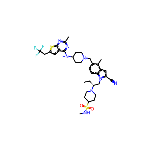 CC[C@@H](Cn1c(C#N)cc2c(C)c(CN3CCC(Nc4nc(C)nc5sc(CC(F)(F)F)cc45)CC3)ccc21)N1CCC(S(=O)(=O)NC)CC1